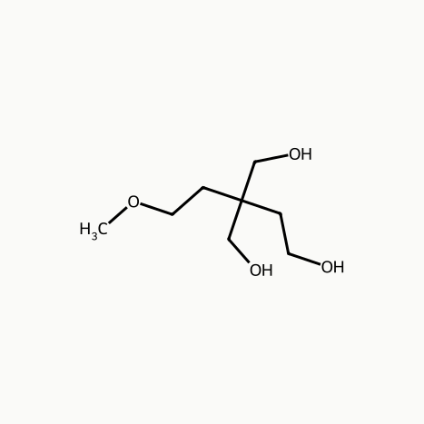 COCCC(CO)(CO)CCO